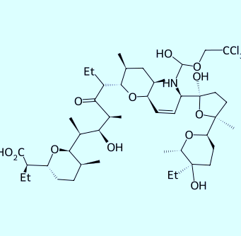 CCC(C(=O)[C@@H](C)[C@@H](O)[C@H](C)[C@@H]1O[C@@H]([C@@H](CC)C(=O)O)CC[C@@H]1C)[C@H]1O[C@H](/C=C\[C@@H](NC(O)OCC(Cl)(Cl)Cl)[C@@]2(O)CC[C@@](C)([C@H]3CC[C@](O)(CC)[C@H](C)O3)O2)[C@H](C)C[C@@H]1C